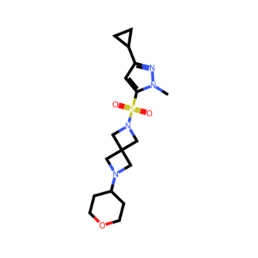 Cn1nc(C2CC2)cc1S(=O)(=O)N1CC2(CN(C3CCOCC3)C2)C1